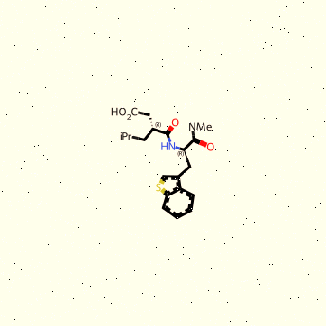 CNC(=O)[C@@H](Cc1csc2ccccc12)NC(=O)[C@@H](CC(=O)O)CC(C)C